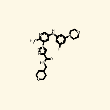 Cc1ncc(Nc2cc(F)cc(N3CCOCC3)c2)cc1-n1cc(C(=O)NCC2CCOCC2)nn1